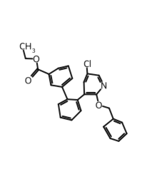 CCOC(=O)c1cccc(-c2ccccc2-c2cc(Cl)cnc2OCc2ccccc2)c1